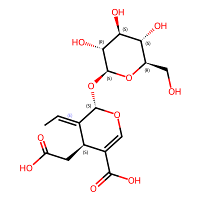 C/C=C1/[C@H](O[C@@H]2O[C@H](CO)[C@@H](O)[C@H](O)[C@H]2O)OC=C(C(=O)O)[C@H]1CC(=O)O